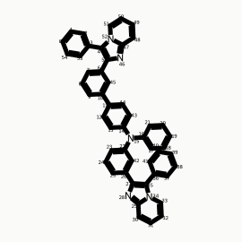 c1ccc(-c2c(-c3cccc(-c4ccc(N(c5ccccc5)c5cccc(-c6nc7ccccn7c6-c6ccccc6)c5)cc4)c3)nc3ccccn23)cc1